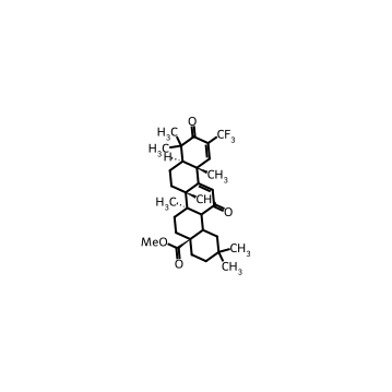 COC(=O)[C@]12CCC(C)(C)CC1C1C(=O)C=C3[C@@]4(C)C=C(C(F)(F)F)C(=O)C(C)(C)[C@@H]4CC[C@@]3(C)[C@]1(C)CC2